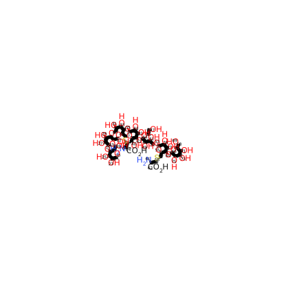 N[C@H](CSCC1O[C@@H](O[C@@H]2C(CO)OC(O[C@@H]3C(CO)OC[C@@H](O)C3O)[C@@H](O)[C@H]2O)[C@@H](O)C(O)[C@@H]1O[C@@H]1OC(CO)[C@@H](O[C@H](OCCO)[C@@H](O)C(O)CO[C@H]2OC(CSC[C@@H](N)C(=O)O)[C@H](O[C@H]3OC(CO)[C@@H](O)[C@H](O)C3O)[C@H](O)C2O)C(O)[C@@H]1O)C(=O)O